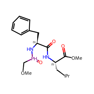 COC[PH](=O)N[C@@H](Cc1ccccc1)C(=O)N[C@@H](CC(C)C)C(=O)OC